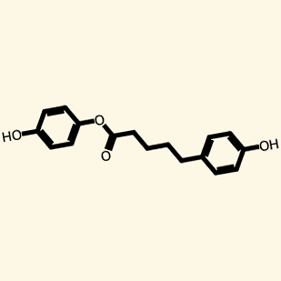 O=C(CCCCc1ccc(O)cc1)Oc1ccc(O)cc1